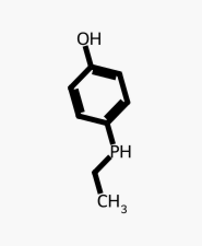 CCPc1ccc(O)cc1